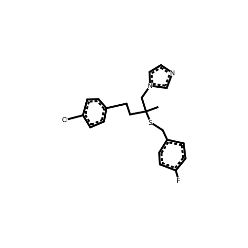 CC(CCc1ccc(Cl)cc1)(Cn1ccnc1)SCc1ccc(F)cc1